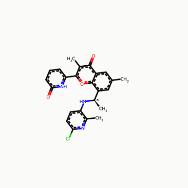 Cc1cc([C@@H](C)Nc2ccc(Cl)nc2C)c2oc(-c3cccc(=O)[nH]3)c(C)c(=O)c2c1